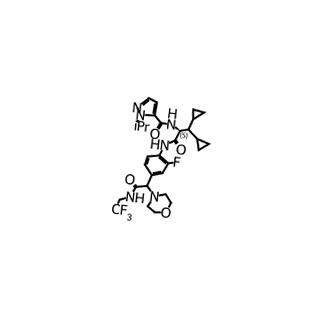 CC(C)n1nccc1C(=O)N[C@H](C(=O)Nc1ccc(C(C(=O)NCC(F)(F)F)N2CCOCC2)cc1F)C(C1CC1)C1CC1